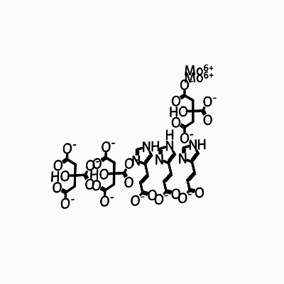 O=C([O-])C=Cc1c[nH]cn1.O=C([O-])C=Cc1c[nH]cn1.O=C([O-])C=Cc1c[nH]cn1.O=C([O-])CC(O)(CC(=O)[O-])C(=O)[O-].O=C([O-])CC(O)(CC(=O)[O-])C(=O)[O-].O=C([O-])CC(O)(CC(=O)[O-])C(=O)[O-].[Mo+6].[Mo+6]